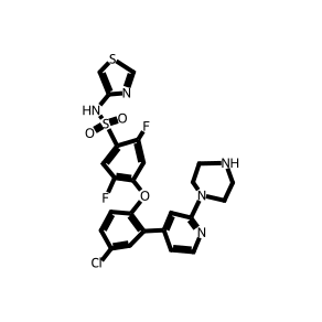 O=S(=O)(Nc1cscn1)c1cc(F)c(Oc2ccc(Cl)cc2-c2ccnc(N3CCNCC3)c2)cc1F